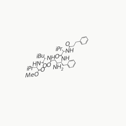 CC[C@H](C)[C@H](NC(=O)C[C@H](N)[C@H](Cc1ccccc1)NC(=O)C(NC(=O)CCc1ccccc1)C(C)C)C(=O)NC(C(=O)OC)C(C)C